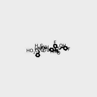 C[C@@H](NC(=O)COc1ccc([C@]2(c3ccc(F)cc3)NC(=O)[C@@H]2SCC(O)c2ccc(F)cc2)cc1)C(=O)N[C@H](Cc1ccccc1)C(=O)O